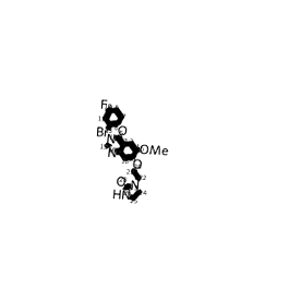 COc1cc2c(Oc3ccc(F)cc3Br)ncnc2cc1OCCN1CCNC1=O